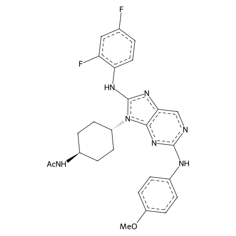 COc1ccc(Nc2ncc3nc(Nc4ccc(F)cc4F)n([C@H]4CC[C@H](NC(C)=O)CC4)c3n2)cc1